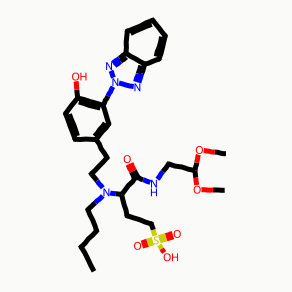 CCCCN(CCc1ccc(O)c(-n2nc3ccccc3n2)c1)C(CCS(=O)(=O)O)C(=O)NCC(OC)OC